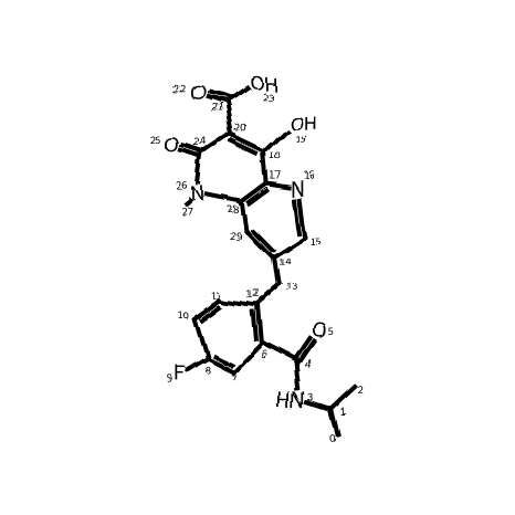 CC(C)NC(=O)c1cc(F)ccc1Cc1cnc2c(O)c(C(=O)O)c(=O)n(C)c2c1